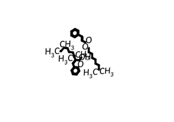 CC(C)CCCCCCCOC(=O)C=Cc1ccccc1.CCC(C)CCCC(C)(C)C(=Cc1ccccc1)C(=O)O